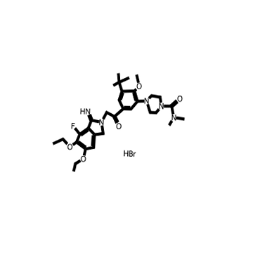 Br.CCOc1cc2c(c(F)c1OCC)C(=N)N(CC(=O)c1cc(N3CCN(C(=O)N(C)C)CC3)c(OC)c(C(C)(C)C)c1)C2